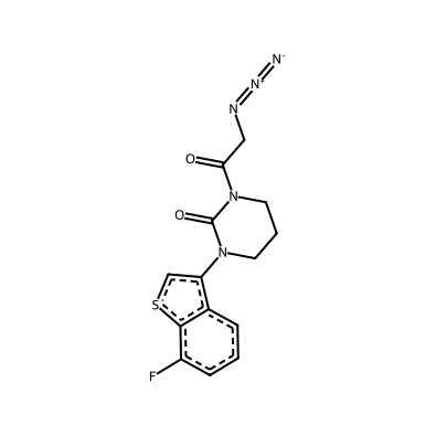 [N-]=[N+]=NCC(=O)N1CCCN(c2csc3c(F)cccc23)C1=O